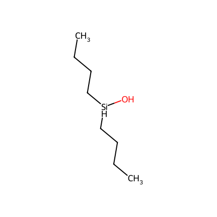 CCCC[SiH](O)CCCC